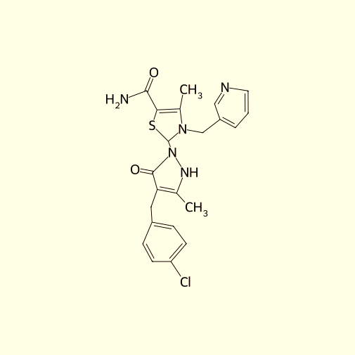 CC1=C(C(N)=O)SC(n2[nH]c(C)c(Cc3ccc(Cl)cc3)c2=O)N1Cc1cccnc1